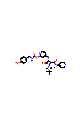 COc1ccc(CNC(=O)Oc2cc(C[C@H]3C(=O)N([Si](C)(C)C(C)(C)C)[C@@H]3C(=O)N(C)c3ccncc3)ccn2)cc1